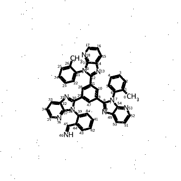 Cc1ccccc1-n1c(-c2cc(-c3nc4cccnc4n3-c3ccccc3C)cc(-c3nc4cccnc4n3-c3ccccc3C=N)c2)nc2cccnc21